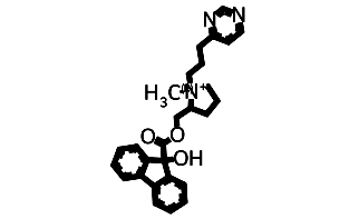 C[N@+]1(CCCc2ccncn2)CCCC1COC(=O)C1(O)c2ccccc2-c2ccccc21